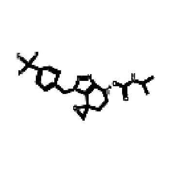 CC(C)NC(=O)O[C@@H]1CCC2(CO2)c2c1nnn2Cc1ccc(C(F)(F)F)cc1